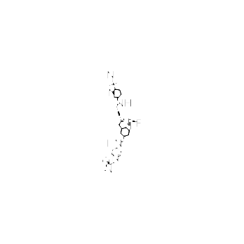 CN(C)C(=O)CN1CCC(NCc2ccc3c(c2)cc(C#CCNc2ccc(C(C)(C)C#N)nc2)n3CC(F)(F)F)CC1